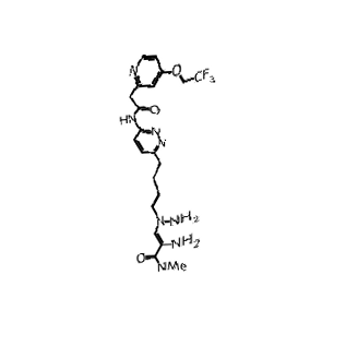 CNC(=O)/C(N)=C/N(N)CCCCc1ccc(NC(=O)Cc2cc(OCC(F)(F)F)ccn2)nn1